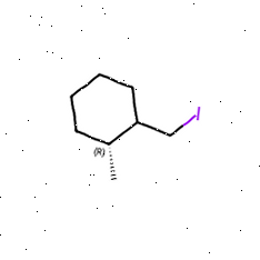 C[C@@H]1CCCCC1CI